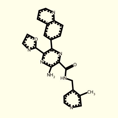 Cc1cnccc1CNC(=O)c1nc(-c2ccc3ncccc3c2)c(-c2ncco2)nc1N